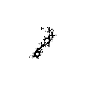 CC(C)(C)C(OC(N)=O)C1CCN(NC(=O)c2cc3cc(Cl)ccc3o2)CC1